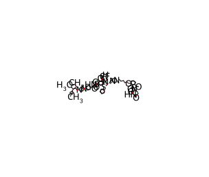 CC1(C)CCC(CN2CCN(c3ccc(C(=O)NS(=O)(=O)c4ccc(N[C@H](CCN5CCN(CCCCCOc6cccc7c6C(=O)N(C6CCC(=O)NC6=O)C7=O)CC5)CSc5ccccc5)c(S(=O)(=O)C(F)(F)F)c4)cc3)CC2)=C(C23CC(C)(C2)C3)C1